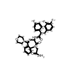 NC(=O)CN1C(=O)C(NC(=O)[C@H](Cc2ccc(F)c(F)c2)c2ccc(F)cc2)N=C(N2CCOCC2)c2ccccc21